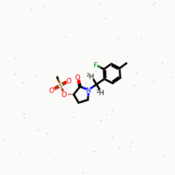 [2H]C([2H])(c1ccc(C)cc1F)N1CC[C@H](OS(C)(=O)=O)C1=O